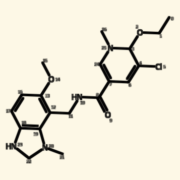 CCOC1C(Cl)=CC(C(=O)NCc2c(OC)ccc3c2N(C)CN3)=CN1C